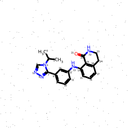 CC(C)n1cnnc1-c1cccc(Nc2cccc3c2C(=O)NCC3)c1